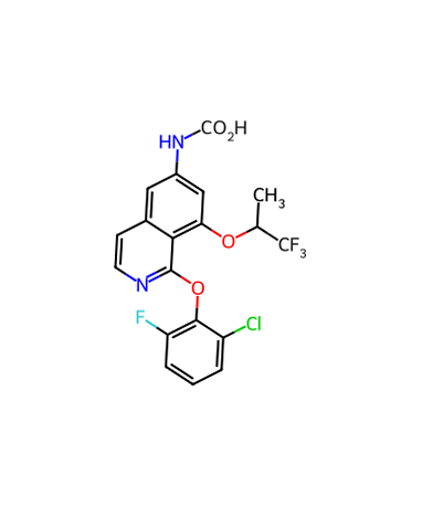 CC(Oc1cc(NC(=O)O)cc2ccnc(Oc3c(F)cccc3Cl)c12)C(F)(F)F